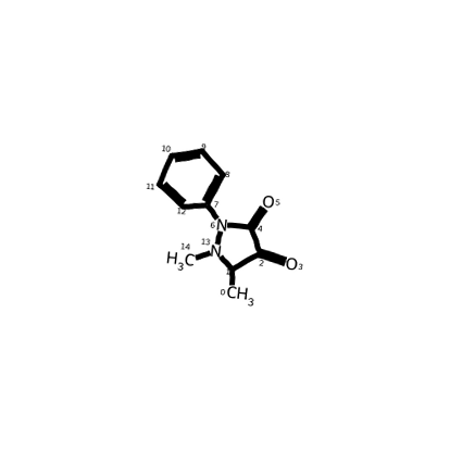 CC1C(=O)C(=O)N(c2ccccc2)N1C